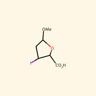 COC1CC(I)C(C(=O)O)O1